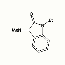 CCN1C(=O)C(NC)c2ccccc21